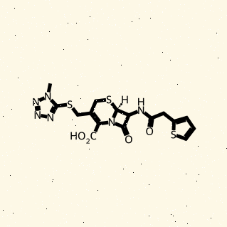 Cn1nnnc1SCC1=C(C(=O)O)N2C(=O)C(NC(=O)Cc3cccs3)[C@@H]2SC1